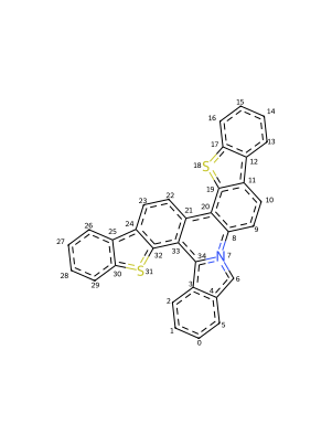 c1ccc2c(c1)cn1c3ccc4c5ccccc5sc4c3c3ccc4c5ccccc5sc4c3c21